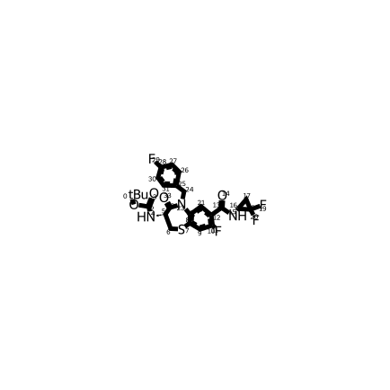 CC(C)(C)OC(=O)N[C@H]1CSc2cc(F)c(C(=O)NC3CC3(F)F)cc2N(Cc2ccc(F)cc2)C1=O